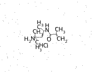 C=C(C)C(=O)NC(C)CC(C)(C)N.Cl